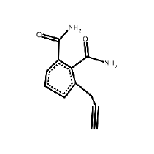 C#CCc1cccc(C(N)=O)c1C(N)=O